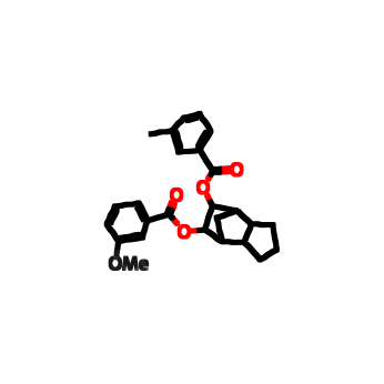 COc1cccc(C(=O)OC2C3CC(C4CCCC43)C2OC(=O)c2cccc(C)c2)c1